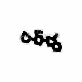 COc1cc(-c2cc3ncccc3c(=O)[nH]2)ccc1N1CCOCC1